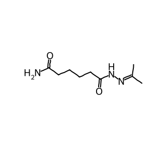 CC(C)=NNC(=O)CCCCC(N)=O